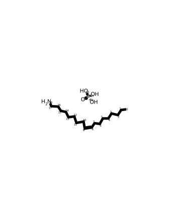 CCCCCCCC/C=C\CCCCCCCCN.O=P(O)(O)O